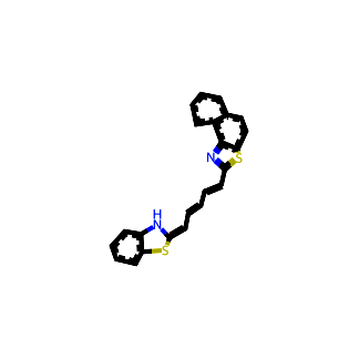 C(=CC=C1Nc2ccccc2S1)C=Cc1nc2c(ccc3ccccc32)s1